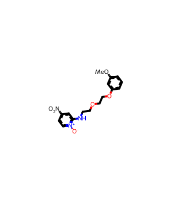 COc1cccc(OCCOCCNc2cc([N+](=O)[O-])cc[n+]2[O-])c1